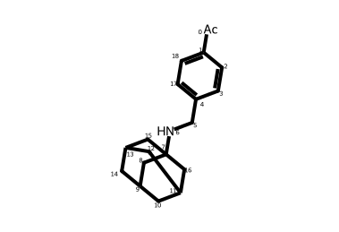 CC(=O)c1ccc(CNC23CC4CC(CC(C4)C2)C3)cc1